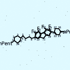 CCCCCC1CCC(CCCCc2cc3c(c(F)c2F)-c2c(cc(C4=CCC(CCC)CC4)c(F)c2F)C3)CC1